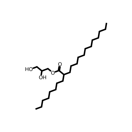 CCCCCCCCCCCCC(CCCCCCCC)C(=O)OCC(O)CO